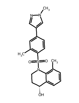 Cc1cc(-c2cnn(C)c2)ccc1S(=O)(=O)N1CC[C@@H](O)c2cccc(C)c21